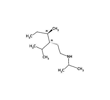 CC[C@@H](C)[C@H](CCNC(C)C)C(C)C